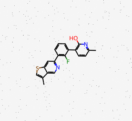 Cc1ccc(-c2cccc(-c3cc4scc(C)c4cn3)c2F)c(O)n1